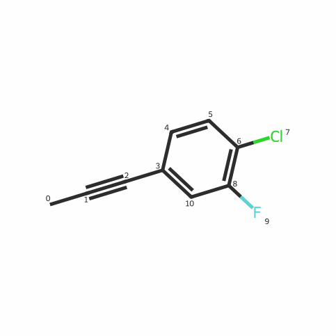 CC#Cc1ccc(Cl)c(F)c1